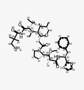 CC[C@H](C)[C@@H]([C@@H](CC(=O)N1CCC[C@H]1[C@H](OC)[C@@H](C)C(=O)N[C@@H](Cc1ccccc1)c1nccs1)OC)N(C)[C@H](C(=O)NC(=O)C(C)(C)CN)C(C)C